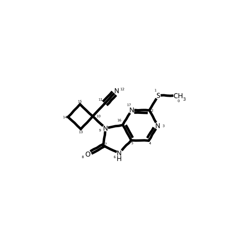 CSc1ncc2[nH]c(=O)n(C3(C#N)CCC3)c2n1